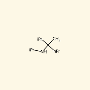 CCCC(C)(NC(C)C)C(C)C